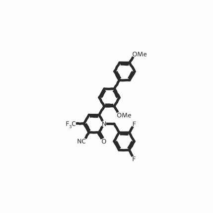 COc1ccc(-c2ccc(-c3cc(C(F)(F)F)c(C#N)c(=O)n3Cc3ccc(F)cc3F)c(OC)c2)cc1